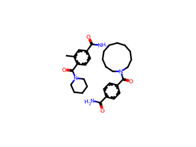 Cc1cc(C(N)=O)ccc1C(=O)N1CCCCC1.NC(=O)c1ccc(C(=O)N2CCCCCCCCCC2)cc1